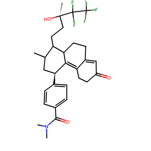 CC1C[C@H](c2ccc(C(=O)N(C)C)cc2)C2=C3CCC(=O)C=C3CCC2C1CC[C@@](C)(O)C(F)(F)C(F)(F)F